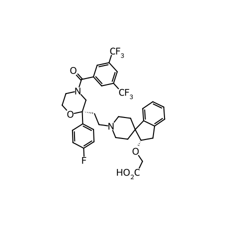 O=C(O)CO[C@H]1Cc2ccccc2C12CCN(CC[C@@]1(c3ccc(F)cc3)CN(C(=O)c3cc(C(F)(F)F)cc(C(F)(F)F)c3)CCO1)CC2